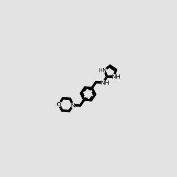 C1=CNC(NCc2ccc(CN3CCOCC3)cc2)N1